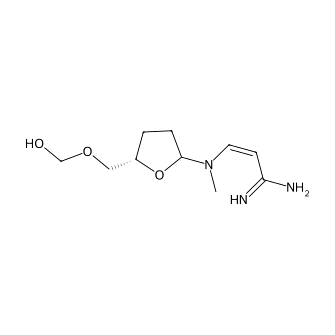 CN(/C=C\C(=N)N)C1CC[C@@H](COCO)O1